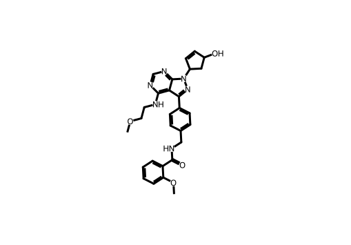 COCCNc1ncnc2c1c(-c1ccc(CNC(=O)c3ccccc3OC)cc1)nn2C1C=CC(O)C1